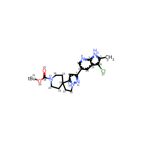 Cc1[nH]c2ncc(-c3cc4n(n3)CCC43CCN(C(=O)OC(C)(C)C)CC3)cc2c1Cl